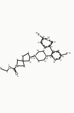 CCOC(=O)N1CC2(CC[C@@H](N3CCN(c4ncc(F)cc4-c4ccc(F)cc4)CC3)C2)C1